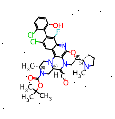 C[C@@H]1CN2c3c4c(nc5c(F)c(-c6c(O)cccc6Cl)c(Cl)cc35)O[C@@H]([C@@H]3CCCN3C)CN4C(=C=O)[C@H]2CN1C(=O)OC(C)(C)C